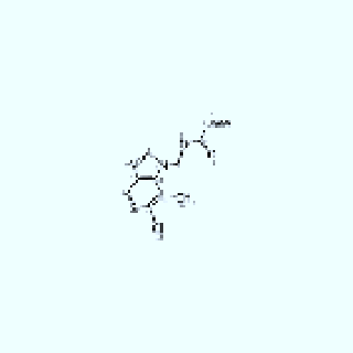 COC(=O)OCn1cnc2ccc(Cl)c(C)c21